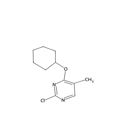 Cc1cnc(Cl)nc1OC1CCCCC1